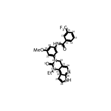 CCN1C(=O)N(c2cc(NC(=O)c3cccc(C(F)(F)F)c3)cc(OC)c2)Cc2cnc3[nH]ccc3c21